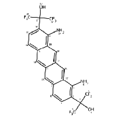 Nc1c(C(O)(C(F)(F)F)C(F)(F)F)ccc2cc3cc4ccc(C(O)(C(F)(F)F)C(F)(F)F)c(N)c4cc3cc12